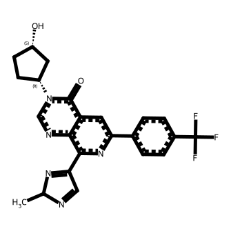 CC1N=CC(c2nc(-c3ccc(C(F)(F)F)cc3)cc3c(=O)n([C@@H]4CC[C@H](O)C4)cnc23)=N1